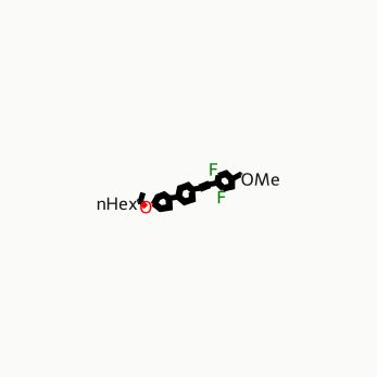 CCCCCCC(C)Oc1ccc(-c2ccc(C#Cc3c(F)cc(COC)cc3F)cc2)cc1